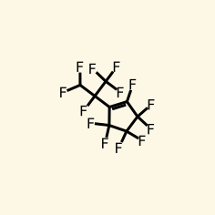 FC1=C(C(F)(C(F)F)C(F)(F)F)C(F)(F)C(F)(F)C1(F)F